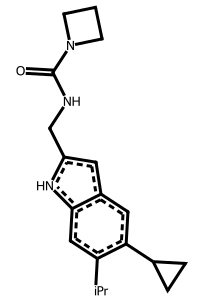 CC(C)c1cc2[nH]c(CNC(=O)N3CCC3)cc2cc1C1CC1